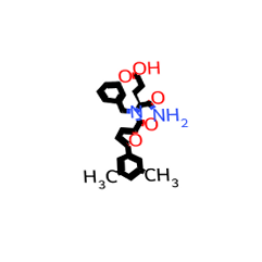 Cc1cc(C)cc(-c2ccc(C(=O)N(Cc3ccccc3)[C@@H](CCC(=O)O)C(N)=O)o2)c1